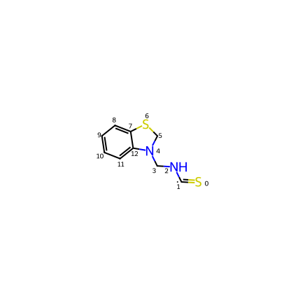 S=[C]NCN1CSc2ccccc21